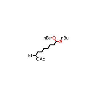 CCCCOC(CCCCCCC(CC)OC(C)=O)OCCCC